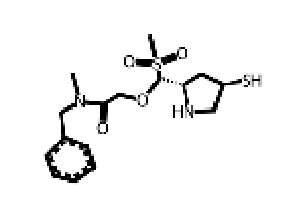 CN(Cc1ccccc1)C(=O)COC([C@@H]1C[C@@H](S)CN1)S(C)(=O)=O